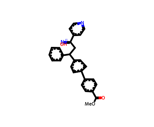 COC(=O)c1ccc(-c2ccc(C(C/C(=N\O)c3ccncc3)c3ccccc3)cc2)cc1